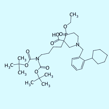 CCOP1(=O)CCN(Cc2ccccc2C2CCCCC2)CC1(CCCCN(C(=O)OC(C)(C)C)C(=O)OC(C)(C)C)C(=O)O